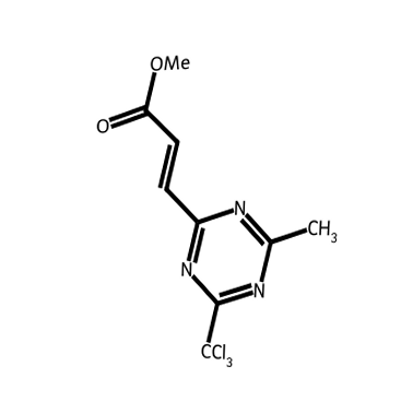 COC(=O)C=Cc1nc(C)nc(C(Cl)(Cl)Cl)n1